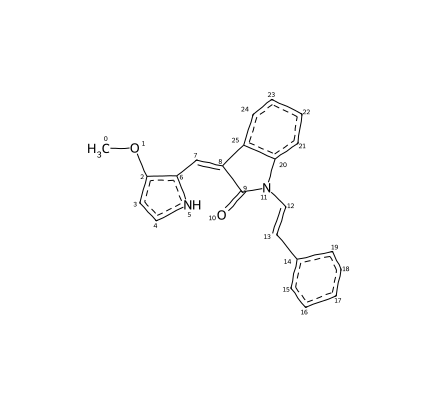 COc1cc[nH]c1C=C1C(=O)N(C=Cc2ccccc2)c2ccccc21